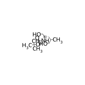 CC(CO)C[C@@H](CO)NC(=O)OC(C)(C)C